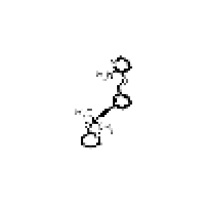 CC(C)(C#Cc1cccc(COc2cccnc2N)c1)OC1CCCCO1